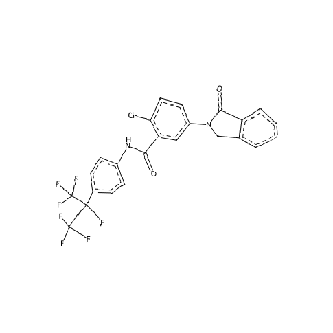 O=C(Nc1ccc(C(F)(C(F)(F)F)C(F)(F)F)cc1)c1cc(N2Cc3ccccc3C2=O)ccc1Cl